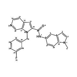 Cn1ccc2cc(NC(=O)c3cc4ccncc4n3Cc3cccc(F)c3)ccc21